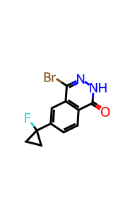 O=c1[nH]nc(Br)c2cc(C3(F)CC3)ccc12